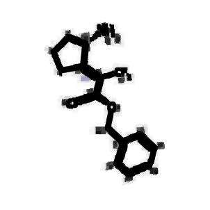 N[C@H]1CCC/C1=C(\C(=O)OCc1ccccc1)C(F)(F)F